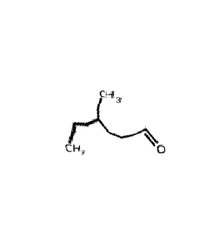 CCC(C)C[C]=O